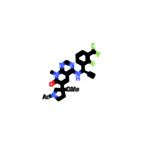 C#C[C@@H](Nc1ncnc2c1cc(C1(OC)CCN(C(C)=O)C1)c(=O)n2C)c1cccc(C(F)F)c1F